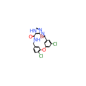 N#Cc1cc(Cl)cc(Oc2cc(CNC(=O)c3[nH]cnc3Br)ccc2Cl)c1